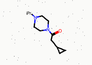 CC(C)N1CCN(C(=O)CC2CC2)CC1